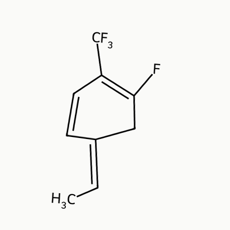 CC=C1C=CC(C(F)(F)F)=C(F)C1